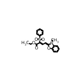 CCOC(=O)/C(=C/C=C1\Oc2ccccc2N1C)S(=O)(=O)c1ccccc1